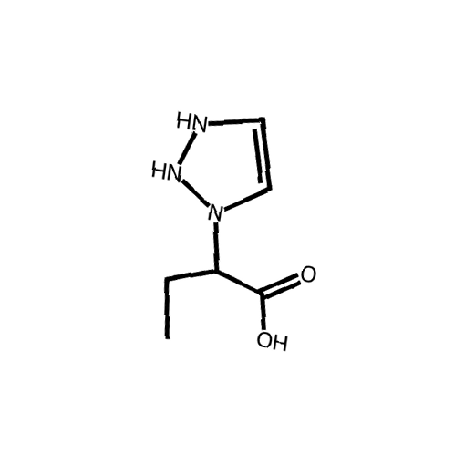 CCC(C(=O)O)N1C=CNN1